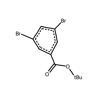 CC(C)(C)OC(=O)c1cc(Br)cc(Br)c1